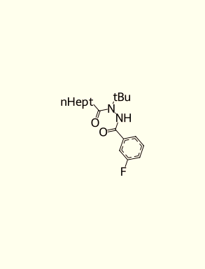 CCCCCCCC(=O)N(NC(=O)c1cccc(F)c1)C(C)(C)C